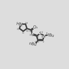 CCCCc1cn(C(C)(C)C)sc1=NC(=O)C1CCNC1